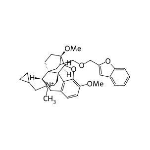 COc1ccc2c3c1O[C@H]1[C@@]4(OC)CC[C@@]5(C[C@@H]4COCc4cc6ccccc6o4)[C@@H](C2)[N+](C)(CC2CC2)CC[C@]315